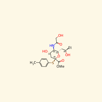 CC[C@@H](O)C[C@@H]1O[C@](Sc2ccc(C)cc2)(C(=O)OC)C[C@H](O)[C@H]1NC(=O)CO